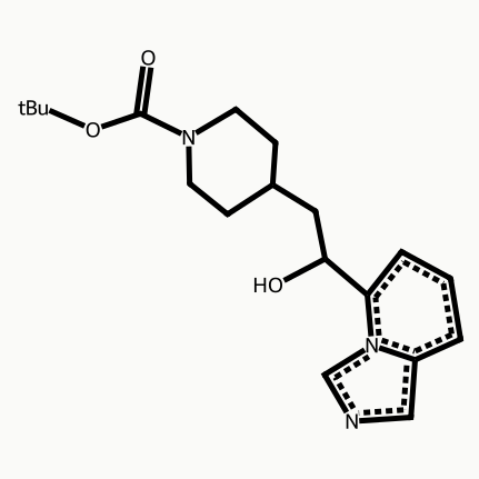 CC(C)(C)OC(=O)N1CCC(CC(O)c2cccc3cncn23)CC1